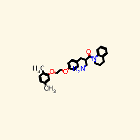 Cc1ccc(C)c(OCCOc2ccc(CC(CN)C(=O)N3CCCc4ccccc43)cc2)c1